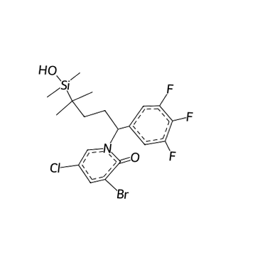 CC(C)(CCC(c1cc(F)c(F)c(F)c1)n1cc(Cl)cc(Br)c1=O)[Si](C)(C)O